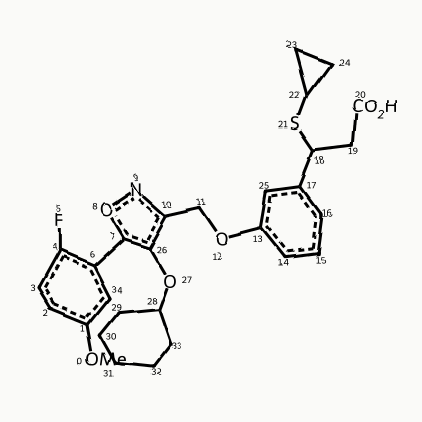 COc1ccc(F)c(-c2onc(COc3cccc(C(CC(=O)O)SC4CC4)c3)c2OC2CCCCC2)c1